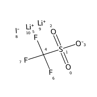 O=S(=O)([O-])C(F)(F)F.[I-].[Li+].[Li+]